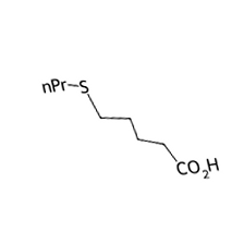 CCCSCCCCC(=O)O